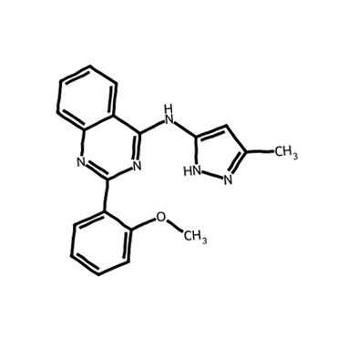 COc1ccccc1-c1nc(Nc2cc(C)n[nH]2)c2ccccc2n1